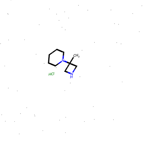 CC1(N2CCCCC2)CNC1.Cl